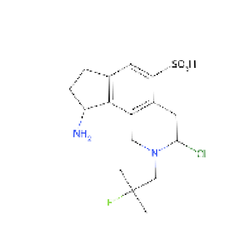 CC(C)(F)CN1Cc2c(c(S(=O)(=O)O)cc3c2C(N)CC3)C=C1Cl